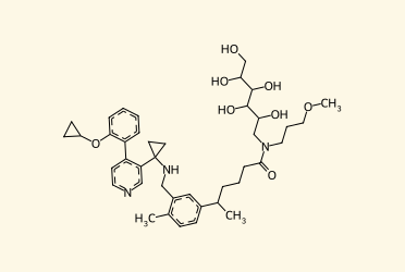 COCCCN(CC(O)C(O)C(O)C(O)CO)C(=O)CCCC(C)c1ccc(C)c(CNC2(c3cnccc3-c3ccccc3OC3CC3)CC2)c1